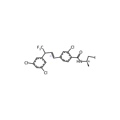 C[C@H](CI)NC(=O)c1ccc(/C=C/C(c2cc(Cl)cc(Cl)c2)C(F)(F)F)cc1Cl